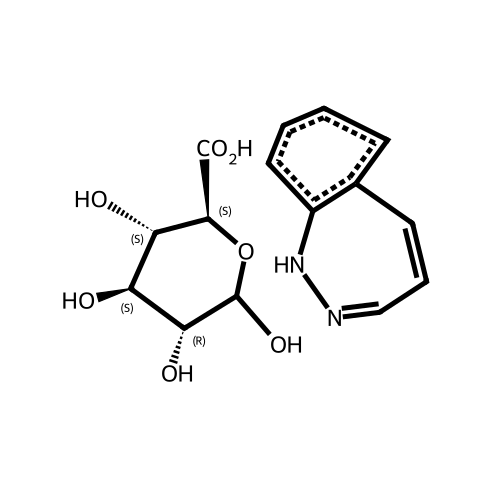 C1=Cc2ccccc2NN=C1.O=C(O)[C@H]1OC(O)[C@H](O)[C@@H](O)[C@@H]1O